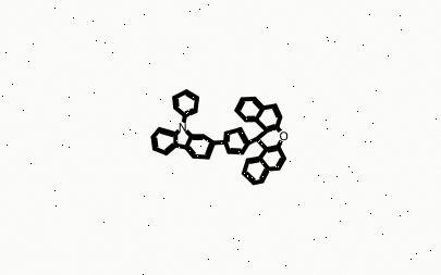 c1ccc(-n2c3ccccc3c3ccc(-c4ccc(C5c6c(ccc7ccccc67)Oc6ccc7ccccc7c65)cc4)cc32)cc1